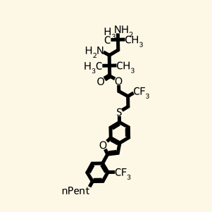 CCCCCc1ccc(-c2cc3ccc(SCC(COC(=O)C(C)(C)C(N)CC(C)(C)N)C(F)(F)F)cc3o2)c(C(F)(F)F)c1